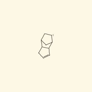 [C]1CC2CC1C1C=CCC21